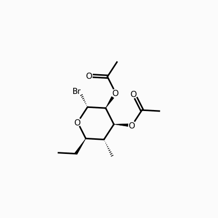 CC[C@H]1O[C@H](Br)[C@@H](OC(C)=O)[C@@H](OC(C)=O)[C@@H]1C